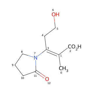 CC(C(=O)O)=C(CCO)N1CCCC1=O